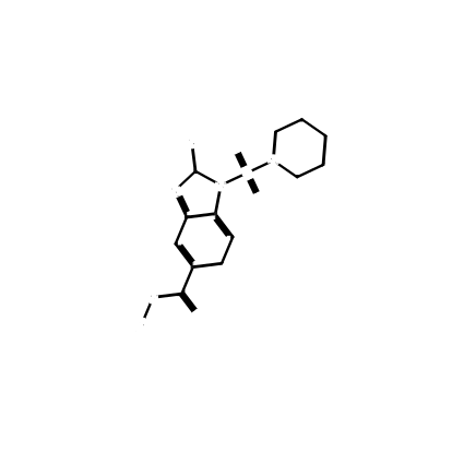 NNC(=O)C1=CC2=NC(N)N(S(=O)(=O)N3CCCCC3)C2=CC1